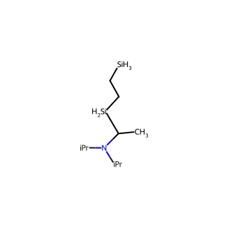 CC(C)N(C(C)C)C(C)[SiH2]CC[SiH3]